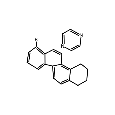 Brc1cccc2c1ccc1c3c(ccc12)CCCC3.c1cnccn1